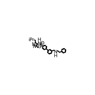 Cc1c(NS(=O)(=O)c2ccc(-c3cccc(CNCCc4ccccc4)c3)cc2)c(CC(C)C)nn1C